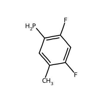 Cc1cc(P)c(F)cc1F